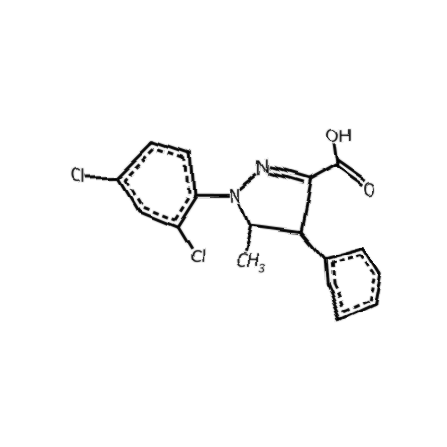 CC1C(c2ccccc2)C(C(=O)O)=NN1c1ccc(Cl)cc1Cl